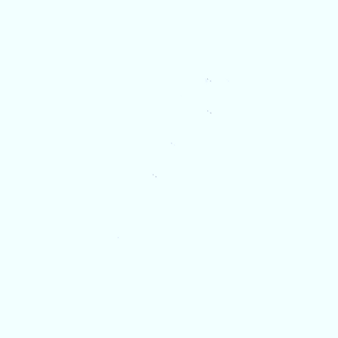 CC(CN1CCN(c2ccc(Cl)cc2)CC1)N1c2ccccc2C(=O)NC1c1ccccc1